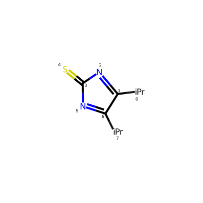 CC(C)C1=NC(=S)N=C1C(C)C